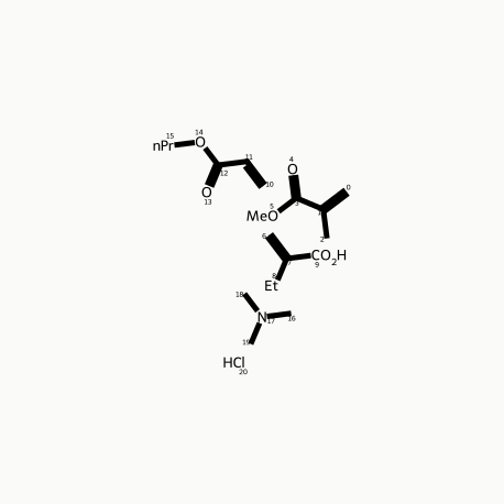 C=C(C)C(=O)OC.C=C(CC)C(=O)O.C=CC(=O)OCCC.CN(C)C.Cl